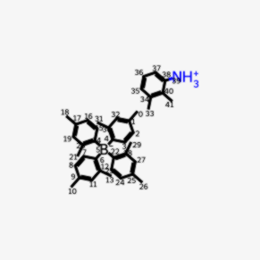 Cc1ccc([B-](c2ccc(C)cc2C)(c2ccc(C)cc2C)c2ccc(C)cc2C)c(C)c1.Cc1cccc([NH3+])c1C